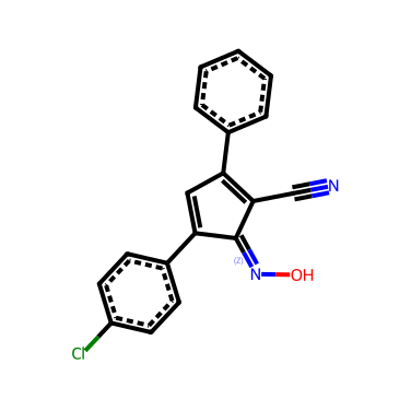 N#CC1=C(c2ccccc2)C=C(c2ccc(Cl)cc2)/C1=N/O